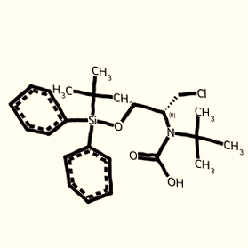 CC(C)(C)N(C(=O)O)[C@@H](CCl)CO[Si](c1ccccc1)(c1ccccc1)C(C)(C)C